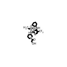 C=CS(=O)(=O)N[C@@H]1CCCC[C@H]1Nc1nc(N[C@H]2CCCN(C(=O)CO)C2)ncc1C(F)(F)F